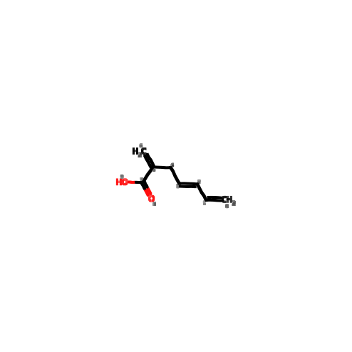 C=CC=CCC(=C)C(=O)O